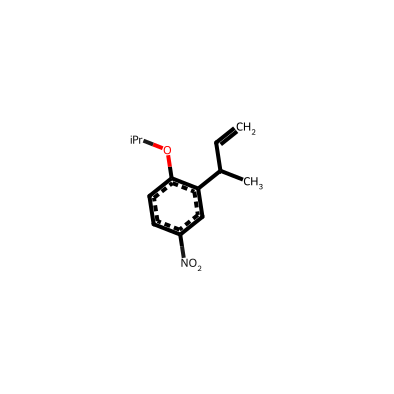 C=C[C](C)c1cc([N+](=O)[O-])ccc1OC(C)C